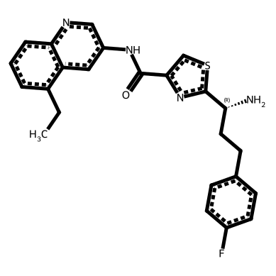 CCc1cccc2ncc(NC(=O)c3csc([C@H](N)CCc4ccc(F)cc4)n3)cc12